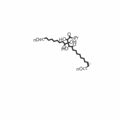 CCCCCCCC/C=C\CCCCCCCC(=O)C(O)C(O)(C(=O)CCCCCCCCCCCCCCCCC)C(O)C(=O)CCC